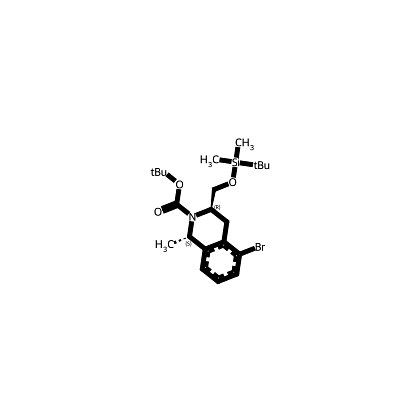 C[C@H]1c2cccc(Br)c2C[C@H](CO[Si](C)(C)C(C)(C)C)N1C(=O)OC(C)(C)C